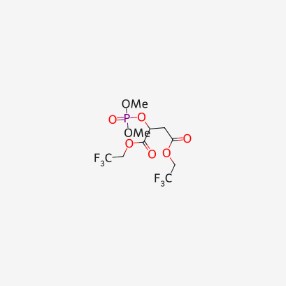 COP(=O)(OC)OC(CC(=O)OCC(F)(F)F)C(=O)OCC(F)(F)F